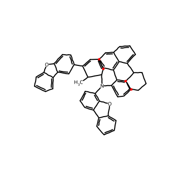 CC1C(c2ccc3oc4ccccc4c3c2)=CC=CC1N(c1ccccc1-c1cccc2cccc(C3CCCCC3)c12)c1cccc2c1oc1ccccc12